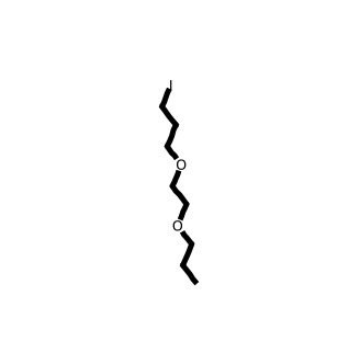 CCCOCCOCCCI